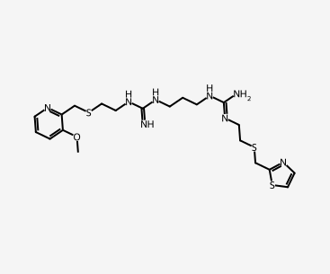 COc1cccnc1CSCCNC(=N)NCCCNC(N)=NCCSCc1nccs1